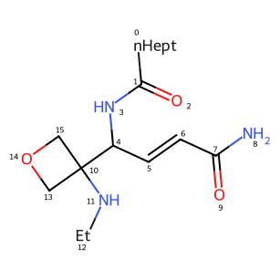 CCCCCCCC(=O)NC(/C=C/C(N)=O)C1(NCC)COC1